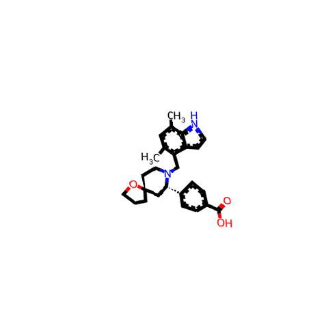 Cc1cc(C)c2[nH]ccc2c1CN1CC[C@]2(CCCO2)C[C@H]1c1ccc(C(=O)O)cc1